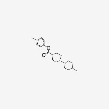 Cc1ccc(OC(=O)C2CCC(C3CCC(C)CC3)CC2)cc1